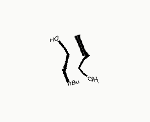 C=CCO.CCCCCCO